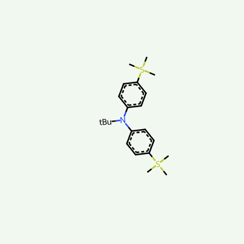 CC(C)(C)N(c1ccc(S(C)(C)C)cc1)c1ccc(S(C)(C)C)cc1